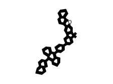 CC1(C)c2ccc(-c3ccc(-c4c5ccccc5c(-c5ccc6ccccc6c5)c5ccccc45)cc3)cc2-c2cc3c(cc21)oc1c2ccccc2ccc31